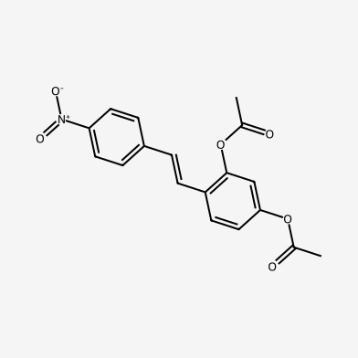 CC(=O)Oc1ccc(/C=C/c2ccc([N+](=O)[O-])cc2)c(OC(C)=O)c1